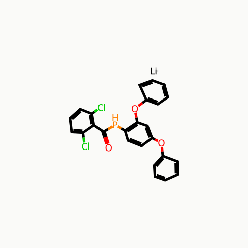 O=C(Pc1ccc(Oc2ccccc2)cc1Oc1ccccc1)c1c(Cl)cccc1Cl.[Li]